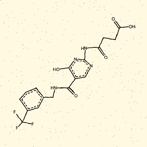 O=C(O)CCC(=O)Nc1ncc(C(=O)NCc2cccc(C(F)(F)F)c2)c(O)n1